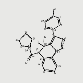 Cc1ccc(-c2ncn3c2C(C)(C)N(C(=O)N2CCCC2)c2ccccc2-3)cc1